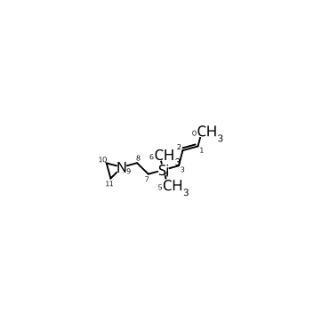 C/C=C/C[Si](C)(C)CCN1CC1